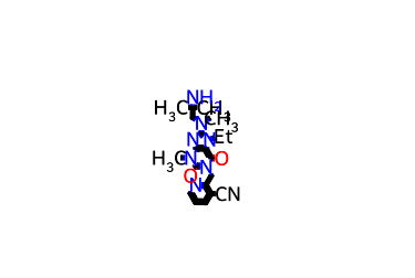 CCn1c(N(C)CC(C)(C)N)nc2c1c(=O)n(Cc1ncccc1C#N)c(=O)n2C